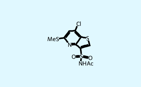 CSc1cc(Cl)c2scc(S(=O)(=O)NC(C)=O)c2n1